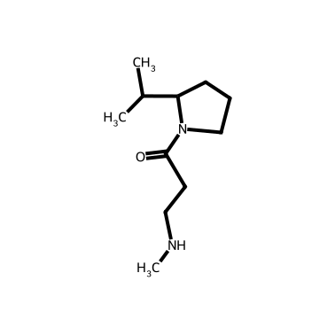 CNCCC(=O)N1CCCC1C(C)C